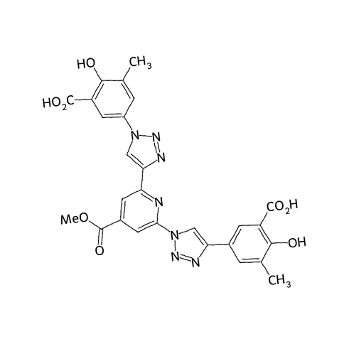 COC(=O)c1cc(-c2cn(-c3cc(C)c(O)c(C(=O)O)c3)nn2)nc(-n2cc(-c3cc(C)c(O)c(C(=O)O)c3)nn2)c1